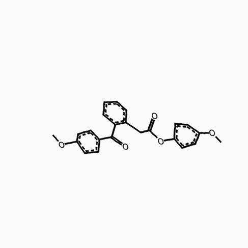 COc1ccc(OC(=O)Cc2ccccc2C(=O)c2ccc(OC)cc2)cc1